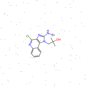 CCNc1nc2c(Cl)nc3ccccc3c2n1CC(C)(C)O